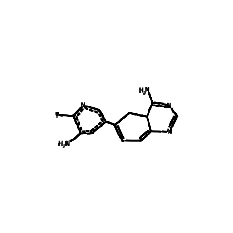 NC1=NC=NC2=CC=C(c3cnc(F)c(N)c3)CC21